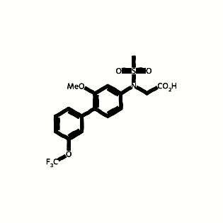 COc1cc(N(CC(=O)O)S(C)(=O)=O)ccc1-c1cccc(OC(F)(F)F)c1